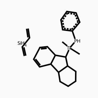 C=CC=C.[CH3][Ti]([CH3])([PH]c1ccccc1)[CH]1C2C=CC=CC2C2CCCCC21.[SiH4]